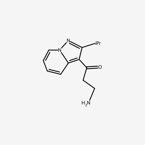 CC(C)c1nn2ccccc2c1C(=O)CCN